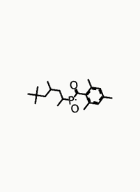 Cc1cc(C)c(C(=O)[P](=O)C(C)CC(C)CC(C)(C)C)c(C)c1